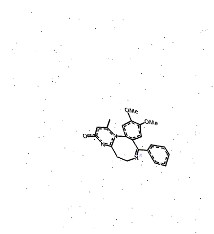 COc1cc2c(cc1OC)-n1c(C)cc(=O)nc1CC/N=C\2c1ccccc1